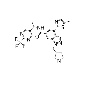 Cc1cnc(-c2cc(C(=O)NC(C)c3cnc(C(F)(F)F)nc3)cc3c2cnn3CC2CCN(C)C2)s1